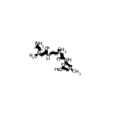 CN(CCNC(=O)CN(C)CCNC(=O)CN(C)CCN)CC(=O)O